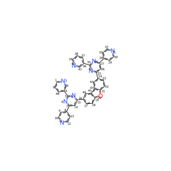 c1cncc(-c2nc(-c3ccncc3)cc(-c3ccc4oc5ccc(-c6cc(-c7ccncc7)nc(-c7cccnc7)n6)cc5c4c3)n2)c1